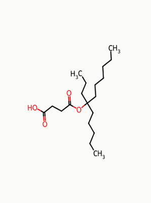 CCCCCCC(CCC)(CCCCC)OC(=O)CCC(=O)O